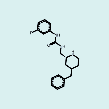 O=C(NC[C@@H]1C[C@H](Cc2ccccc2)CCN1)Nc1cccc(F)c1